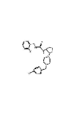 O=C(NCc1ccccc1Cl)NC1CCCC1N1CCC(Cc2ccc(Cl)cc2)CC1